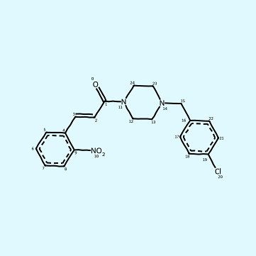 O=C(C=Cc1ccccc1[N+](=O)[O-])N1CCN(Cc2ccc(Cl)cc2)CC1